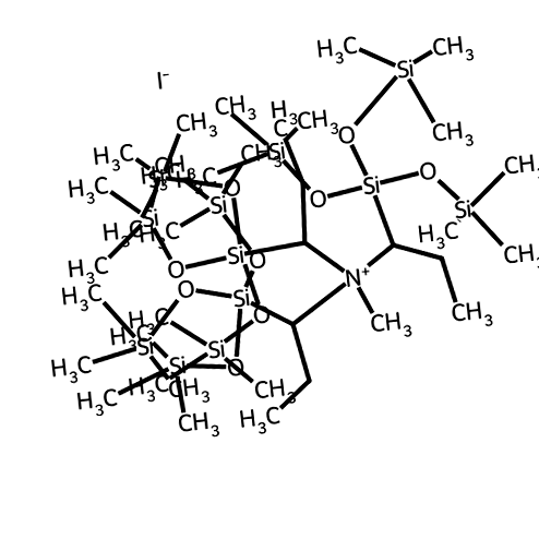 CCC([N+](C)(C(CC)[Si](O[Si](C)(C)C)(O[Si](C)(C)C)O[Si](C)(C)C)C(CC)[Si](O[Si](C)(C)C)(O[Si](C)(C)C)O[Si](C)(C)C)[Si](O[Si](C)(C)C)(O[Si](C)(C)C)O[Si](C)(C)C.[I-]